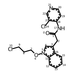 O=C(Cc1cn(OCCCCl)c2ccccc12)Nc1ccncc1Cl